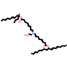 CCCCCCCCC(CCCCCCCC)OC(=O)CCCCCCCN(CCO)CCCCCCCC(=O)OC(C)(CCC)CCCCCCCC